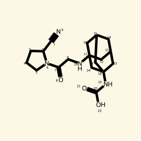 N#CC1CCCN1C(=O)CNC12CC3CC(C1)CC(NC(=O)O)(C3)C2